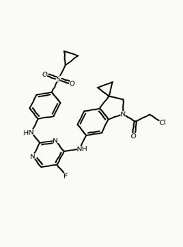 O=C(CCl)N1CC2(CC2)c2ccc(Nc3nc(Nc4ccc(S(=O)(=O)C5CC5)cc4)ncc3F)cc21